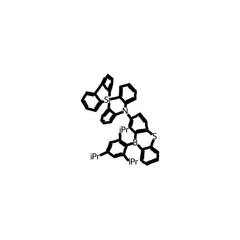 CC(C)c1cc(C(C)C)c(B2c3ccccc3Sc3ccc(N4c5ccccc5[Si]5(c6ccccc6-c6ccccc65)c5ccccc54)cc32)c(C(C)C)c1